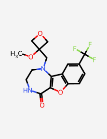 COC1(CN2CCNC(=O)c3oc4ccc(C(F)(F)F)cc4c32)COC1